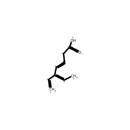 C=CC(C=CCC(=O)O)=CC